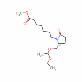 CCOC(C)OC[C@H]1CCC(=O)N1CCCCCCC(=O)OC